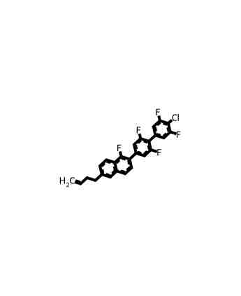 C=CCCc1ccc2c(F)c(-c3cc(F)c(-c4cc(F)c(Cl)c(F)c4)c(F)c3)ccc2c1